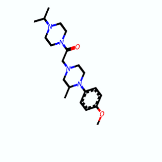 COc1ccc(N2CCN(CC(=O)N3CCN(C(C)C)CC3)CC2C)cc1